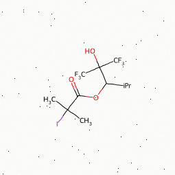 CC(C)C(OC(=O)C(C)(C)I)C(O)(C(F)(F)F)C(F)(F)F